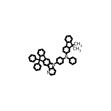 CC1(C)c2ccccc2-c2ccc(N(c3ccccc3)c3ccc(-n4c5cc6c(cc5c5ncccc54)C(c4ccccc4)(c4ccccc4)c4ccccc4-6)cc3)cc21